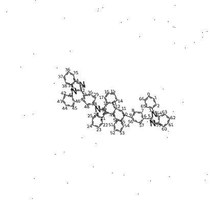 c1ccc(-n2c(-c3ccc(-c4cc5c6ccccc6c6c(c7ccccc7n6-c6ccc(-c7nc8ccccc8n7-c7ccccc7)cc6)c5c5ccccc45)cc3)nc3ccccc32)cc1